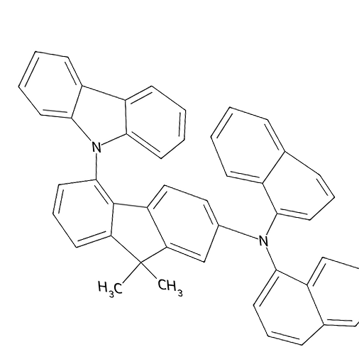 CC1(C)c2cc(N(c3cccc4ccccc34)c3cccc4ccccc34)ccc2-c2c(-n3c4ccccc4c4ccccc43)cccc21